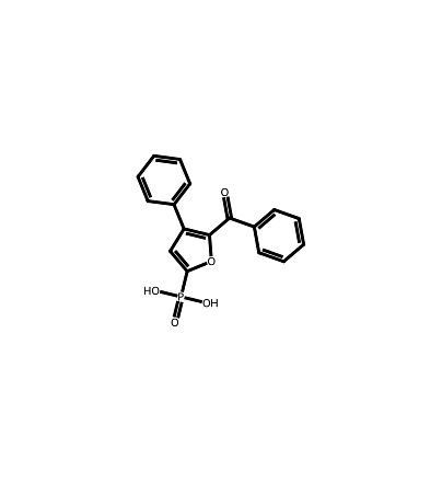 O=C(c1ccccc1)c1oc(P(=O)(O)O)cc1-c1ccccc1